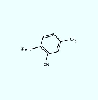 CCCC(C)c1ccc(C(F)(F)F)cc1C#N